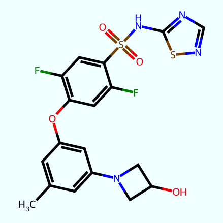 Cc1cc(Oc2cc(F)c(S(=O)(=O)Nc3ncns3)cc2F)cc(N2CC(O)C2)c1